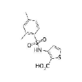 Cc1ccc(S(=O)(=O)Nc2ccsc2C(=O)O)c(C)c1